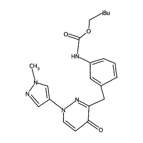 CCC(C)COC(=O)Nc1cccc(Cc2nn(-c3cnn(C)c3)ccc2=O)c1